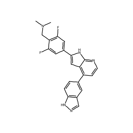 CN(C)Cc1c(F)cc(-c2cc3c(-c4ccc5[nH]ncc5c4)ccnc3[nH]2)cc1F